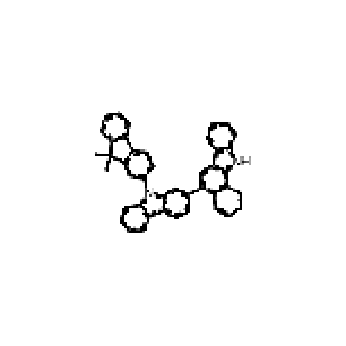 CC1(C)c2ccccc2-c2ccc(-n3c4ccccc4c4ccc(-c5cc6c([nH]c7ccccc76)c6c5C=CCC6)cc43)cc21